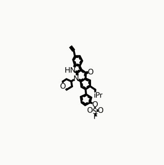 C#Cc1ccc2c(c1)[nH]c1c2c(=O)c2cc(CC(C)C)c(-c3cccc(OS(=O)(=O)F)c3)cc2n1C1CCOCC1